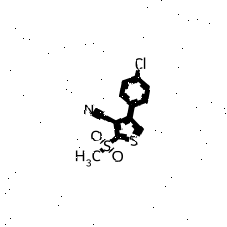 CS(=O)(=O)c1scc(-c2ccc(Cl)cc2)c1C#N